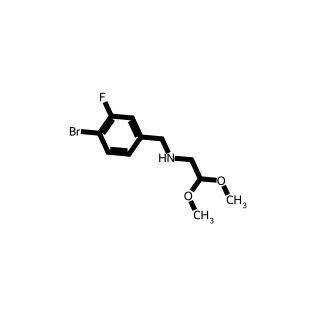 COC(CNCc1ccc(Br)c(F)c1)OC